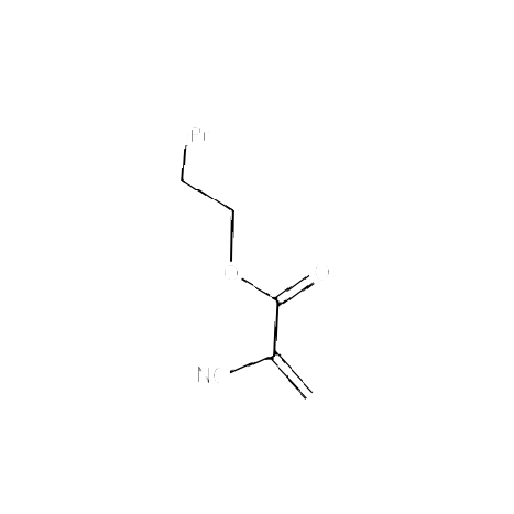 C=C(C#N)C(=O)OCCC(C)C